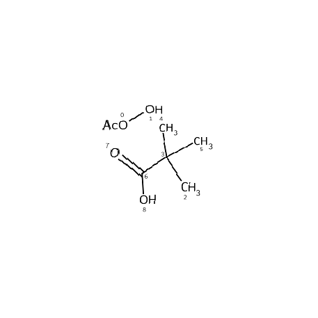 CC(=O)OO.CC(C)(C)C(=O)O